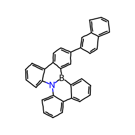 c1ccc2c(c1)B1c3cc(-c4ccc5ccccc5c4)ccc3-c3ccccc3N1c1ccccc1-2